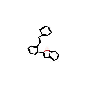 C(=C\c1ccccc1-c1cc2ccccc2o1)/c1ccccc1